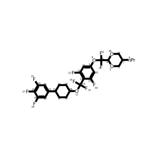 CCCC1COC(C(F)(F)Oc2cc(F)c(C(F)(F)OC3CCC(c4cc(F)c(F)c(F)c4)CC3)c(F)c2)OC1